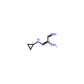 N=C/C(N)=C\NC1CC1